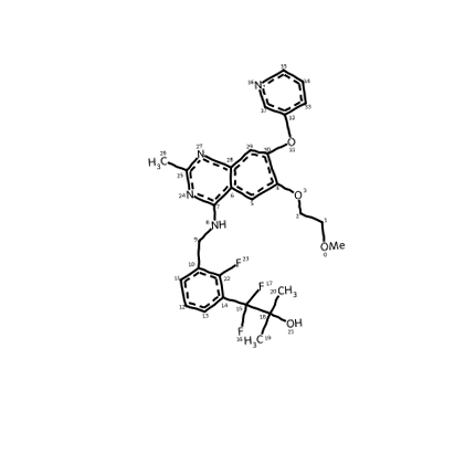 COCCOc1cc2c(NCc3cccc(C(F)(F)C(C)(C)O)c3F)nc(C)nc2cc1Oc1cccnc1